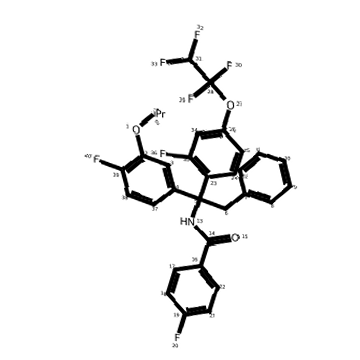 CC(C)Oc1cc(C(Cc2ccccc2)(NC(=O)c2ccc(F)cc2)c2ccc(OC(F)(F)C(F)F)cc2F)ccc1F